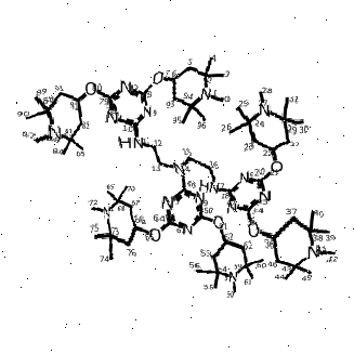 CN1C(C)(C)CC(Oc2nc(NCCN(CCNc3nc(OC4CC(C)(C)N(C)C(C)(C)C4)nc(OC4CC(C)(C)N(C)C(C)(C)C4)n3)c3nc(OC4CC(C)(C)N(C)C(C)(C)C4)nc(OC4CC(C)(C)N(C)C(C)(C)C4)n3)nc(OC3CC(C)(C)N(C)C(C)(C)C3)n2)CC1(C)C